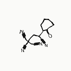 N#CC(CC(C#N)(C#N)C#N)C1CCCCC1=O